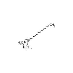 CCCCCCCCCCCCCCCCC[n+]1ccn(C(C)C)c1CCC